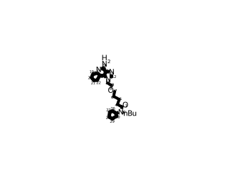 CCCCN(C(=O)CCCCOCCn1cnc2c(N)nc3ccccc3c21)c1ccccc1